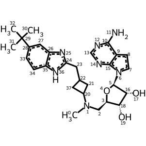 CN(C[C@H]1O[C@@H](n2ccc3c(N)ncnc32)[C@H](O)[C@@H]1O)C1CC(Cc2nc3cc(C(C)(C)C)ccc3[nH]2)C1